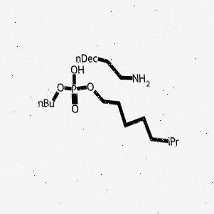 CCCCCCCCCCCCN.CCCCOP(=O)(O)OCCCCCC(C)C